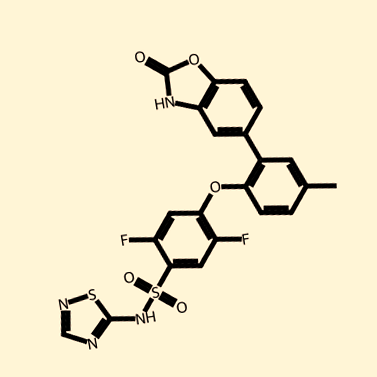 Cc1ccc(Oc2cc(F)c(S(=O)(=O)Nc3ncns3)cc2F)c(-c2ccc3oc(=O)[nH]c3c2)c1